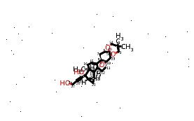 CC1(C)COC2(CC[C@]34O[C@]3(CC[C@@H]3C4=CC[C@@]4(C)[C@H]3[C@@H]3C[C@@H]3[C@@]4(O)C#CCO)C2)OC1